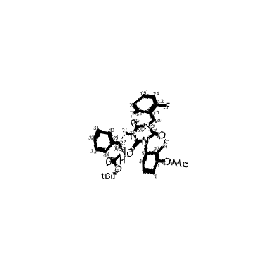 COc1cccc(-n2c(=O)n(Cc3c(F)cccc3F)c(=O)n(C[C@H](NC(=O)OC(C)(C)C)c3ccccc3)c2=O)c1F